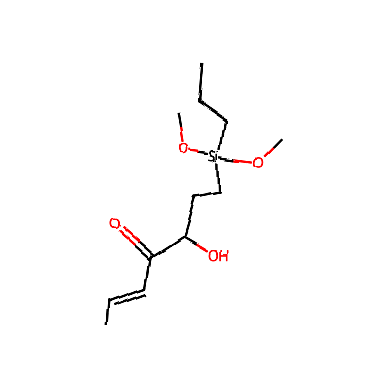 CC=CC(=O)C(O)CC[Si](CCC)(OC)OC